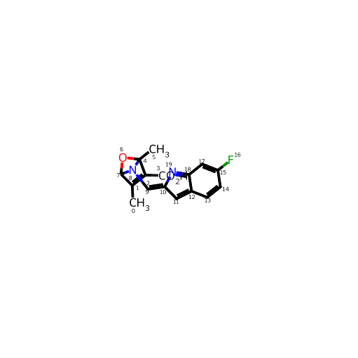 CC1=C(C(=O)O)C2(C)OC1N2/C=C1/C=c2ccc(F)cc2=N1